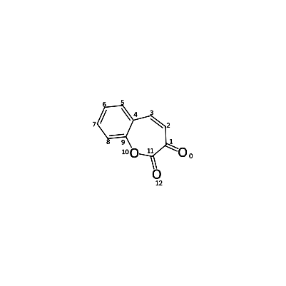 O=c1ccc2ccccc2oc1=O